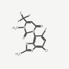 Cc1nc2c(Cl)cc(F)c(-n3c(=O)cc(C(F)(F)F)n(C)c3=O)c2o1